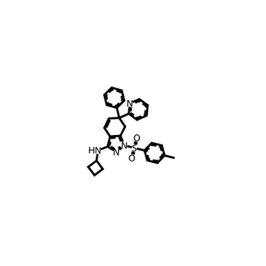 Cc1ccc(S(=O)(=O)n2nc(NC3CCC3)c3c2CC(c2ccccc2)(c2ccccn2)C=C3)cc1